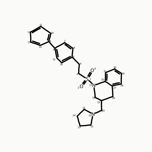 O=S(=O)(CCc1ccc(-c2ccccc2)cc1)N1CC(CN2CCCC2)Cc2ccccc21